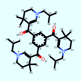 CC(C)CN1C=C(C(=O)c2cc(C(=O)C3=CN(CC(C)C)CCC3(C)C)cc(C(=O)C3=CN(CC(C)C)CCC3(C)C)c2)C(C)(C)CC1